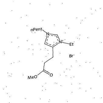 CCCCCn1cc(CCC(=O)OC)[n+](CC)c1.[Br-]